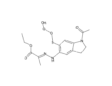 CCOC(=O)/C(C)=N/Nc1cc2c(cc1SOOO)N(C(C)=O)CC2